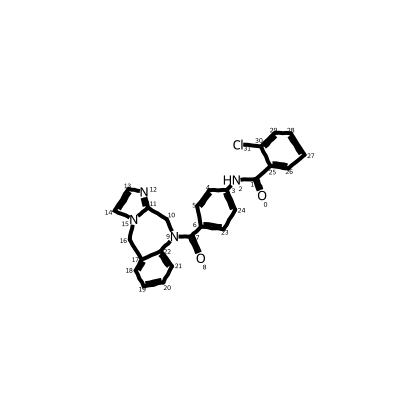 O=C(Nc1ccc(C(=O)N2Cc3nccn3Cc3ccccc32)cc1)c1ccccc1Cl